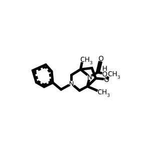 COC1CC2(C)CN(Cc3ccccc3)CC1(C)N2C(=O)O